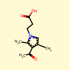 CC(=O)c1c(C)cn(CCC(=O)O)c1C